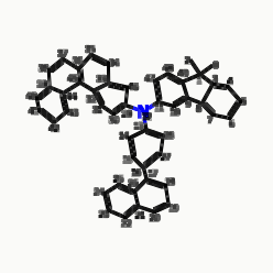 CC1(C)c2ccccc2-c2cc(N(c3ccc(-c4cccc5ccccc45)cc3)c3ccc4c(ccc5ccc6ccccc6c54)c3)ccc21